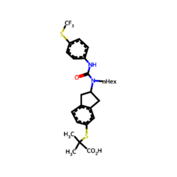 CCCCCCN(C(=O)Nc1ccc(SC(F)(F)F)cc1)C1Cc2ccc(SC(C)(C)C(=O)O)cc2C1